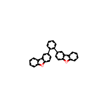 c1ccc(-c2ccc3oc4ccccc4c3c2)c(-c2ccc3oc4ccccc4c3c2)c1